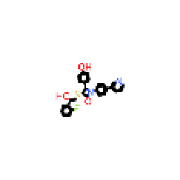 O=C1[C@H](SC[C@@H](O)c2ccccc2F)[C@@H](c2ccc(O)cc2)N1c1ccc(-c2cccnc2)cc1